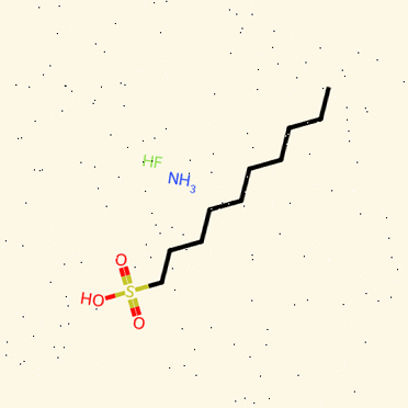 CCCCCCCCCCS(=O)(=O)O.F.N